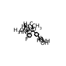 C[C@@H](C#N)NC(=O)[C@@H]1C[C@@H](F)CC[C@H]1c1nc(C(C)(C)C)oc1-c1ccc(N2CC[SH](=N)(O)CC2)cc1